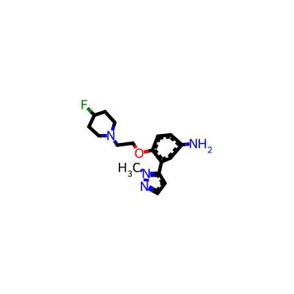 Cn1nccc1-c1cc(N)ccc1OCCN1CCC(F)CC1